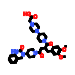 COc1ccc(CC(CC(=O)N2CCC(N3Cc4ccccc4NC3=O)CC2)C(=O)N2CCC(N3CCN(CC(=O)O)CC3)CC2)cc1OC